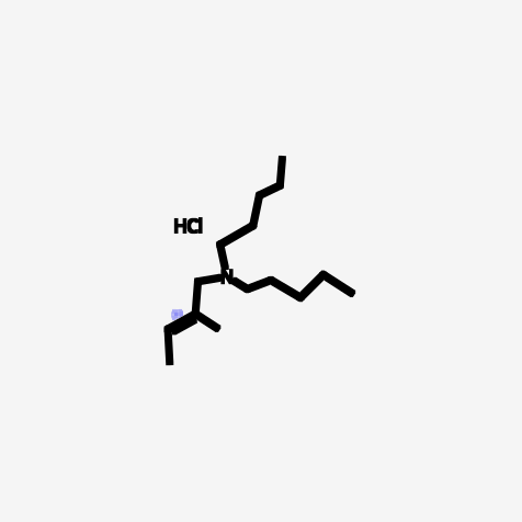 C/C=C(\C)CN(CCCCC)CCCCC.Cl